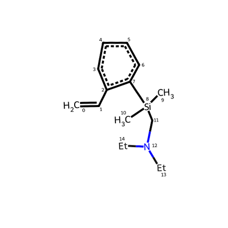 C=Cc1ccccc1[Si](C)(C)CN(CC)CC